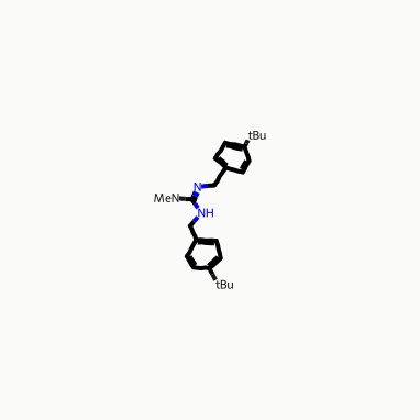 CNC(=NCc1ccc(C(C)(C)C)cc1)NCc1ccc(C(C)(C)C)cc1